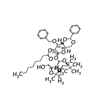 CCCCCCCC(=O)O[C@@H]1[C@H](OC(O[Si](C)(C)C(C)(C)C)[C@H]2OC(C)(C)O[C@H]2CO)O[C@@H]2COC(c3ccccc3)O[C@H]2[C@@H]1OCc1ccccc1